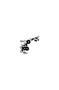 COc1cc(OCCN2CCN(C)C(=O)C2)ccc1-c1csc(N(C)C(=O)C2(CC(=O)OC(C)(C)C)Cc3ccccc3C2)n1